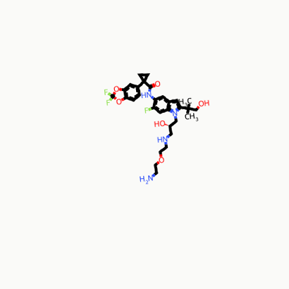 CC(C)(CO)c1cc2cc(NC(=O)C3(c4ccc5c(c4)OC(F)(F)O5)CC3)c(F)cc2n1C[C@@H](O)CNCCOCCN